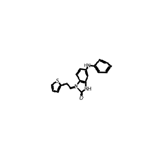 O=c1[nH]c2cc(Nc3ccccc3)ccc2n1CCc1cccs1